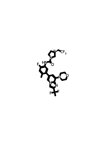 Cc1cc(F)c(NC(=O)N2CC[C@@H](CC(F)(F)F)C2)cc1-c1cc(N2CCOCC2)c2nc(C(C)(F)F)cn2c1